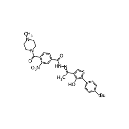 C/C(=N\NC(=O)c1ccc(C(=O)N2CCN(C)CC2)c([N+](=O)[O-])c1)c1csc(-c2ccc(C(C)(C)C)cc2)c1O